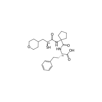 O=C(O)[C@H](CCc1ccccc1)NC(=O)C1(NC(=O)[C@@H](S)CC2CCOCC2)CCCC1